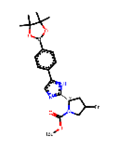 CCC1C[C@@H](c2ncc(-c3ccc(B4OC(C)(C)C(C)(C)O4)cc3)[nH]2)N(C(=O)OC(C)(C)C)C1